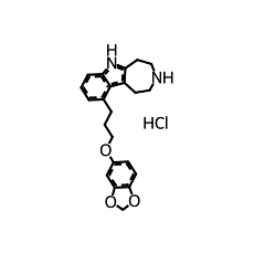 Cl.c1cc(CCCOc2ccc3c(c2)OCO3)c2c3c([nH]c2c1)CCNCC3